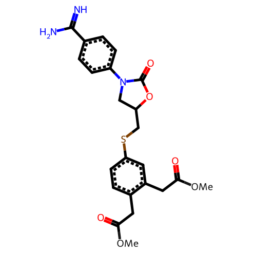 COC(=O)Cc1ccc(SCC2CN(c3ccc(C(=N)N)cc3)C(=O)O2)cc1CC(=O)OC